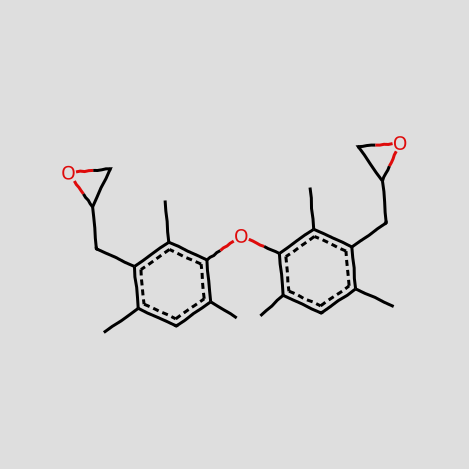 Cc1cc(C)c(Oc2c(C)cc(C)c(CC3CO3)c2C)c(C)c1CC1CO1